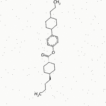 CCCC[C@H]1CC[C@H](C(=O)Oc2ccc(C3CCC(CCC)CC3)cc2)CC1